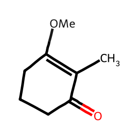 COC1=C(C)C(=O)CCC1